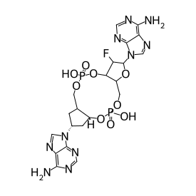 Nc1ncnc2c1ncn2C1OC2COP(=O)(O)O[C@@H]3C[C@H](n4cnc5c(N)ncnc54)CC3COP(=O)(O)OC2C1F